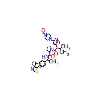 Cc1ncsc1-c1ccc(C(C)NC(=O)C2CCCN2C(=O)C(c2cc(N3CCN(C=O)CC3)no2)C(C)C)cc1